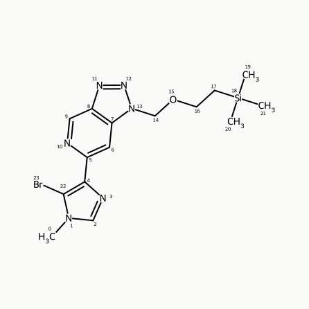 Cn1cnc(-c2cc3c(cn2)nnn3COCC[Si](C)(C)C)c1Br